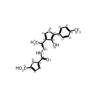 CC(=NNC(=O)c1ccc(C(=O)O)s1)c1csc(-c2ccc(C(F)(F)F)cc2)c1O